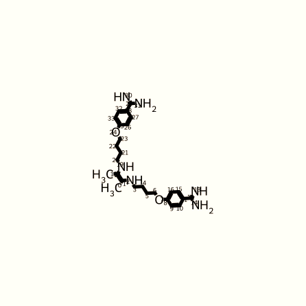 C/C(NCCCCOc1ccc(C(=N)N)cc1)=C(\C)NCCCCOc1ccc(C(=N)N)cc1